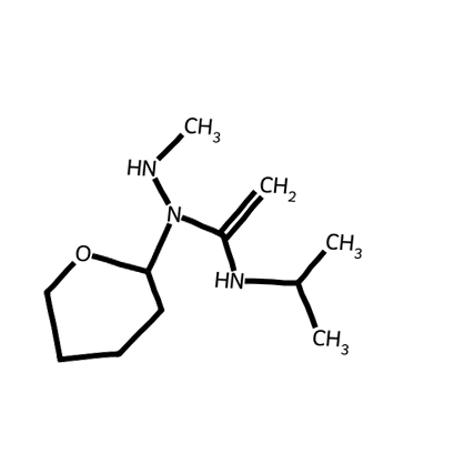 C=C(NC(C)C)N(NC)C1CCCCO1